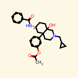 CC(=O)Oc1cccc(C23CCN(CC4CC4)CC2(O)CC[C@@H](NC(=O)c2ccccc2)C3)c1